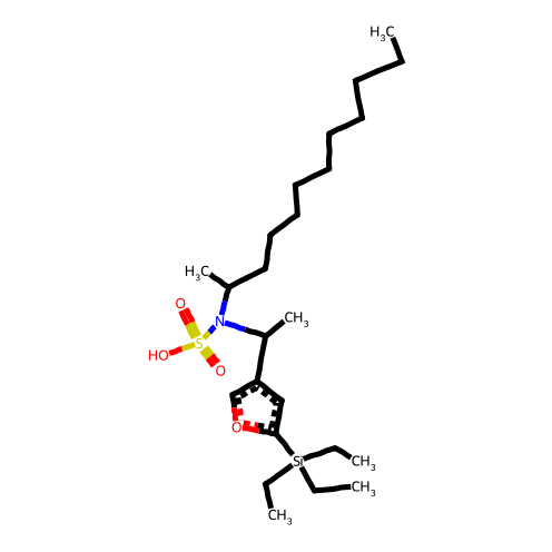 CCCCCCCCCCC(C)N(C(C)c1coc([Si](CC)(CC)CC)c1)S(=O)(=O)O